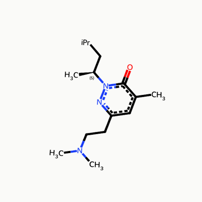 Cc1cc(CCN(C)C)nn([C@@H](C)CC(C)C)c1=O